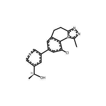 Cc1nnc2n1-c1c(Cl)cc(-c3cncc([C@H](C)O)c3)cc1CC2